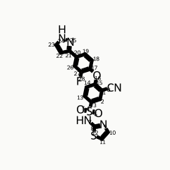 N#Cc1cc(S(=O)(=O)Nc2nccs2)ccc1Oc1ccc(-c2cc[nH]n2)cc1F